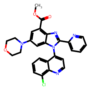 COC(=O)c1cc(N2CCOCC2)cc2c1nc(-c1ccccn1)n2-c1ccnc2c(Cl)cccc12